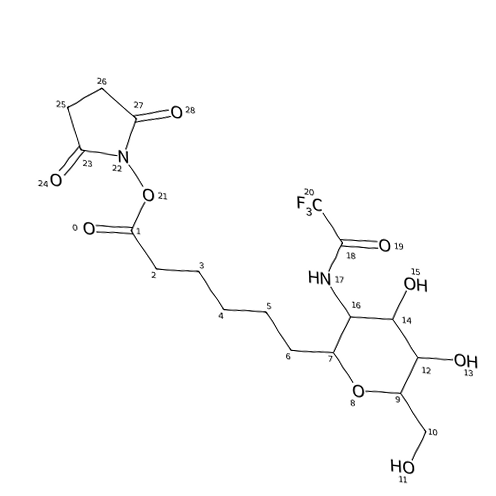 O=C(CCCCCC1OC(CO)C(O)C(O)C1NC(=O)C(F)(F)F)ON1C(=O)CCC1=O